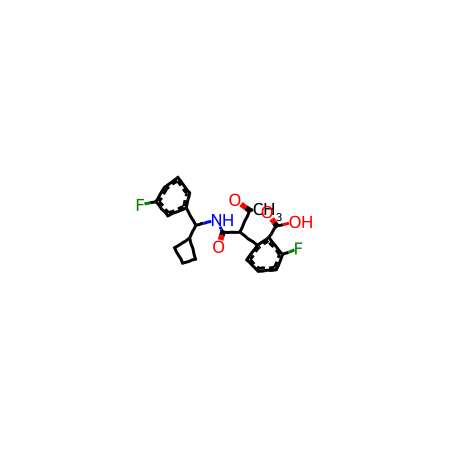 CC(=O)C(C(=O)NC(c1cccc(F)c1)C1CCC1)c1cccc(F)c1C(=O)O